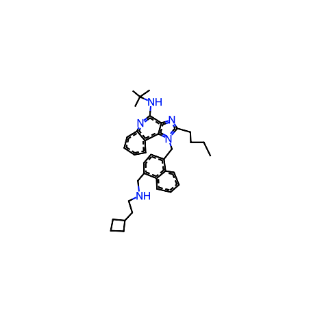 CCCCc1nc2c(NC(C)(C)C)nc3ccccc3c2n1Cc1ccc(CNCCC2CCC2)c2ccccc12